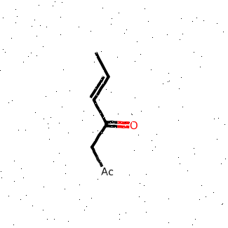 CC=CC(=O)CC(C)=O